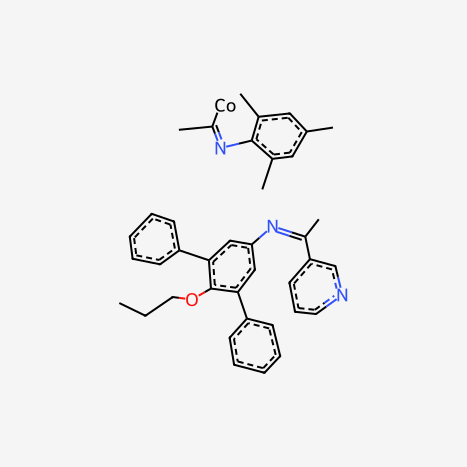 CCCOc1c(-c2ccccc2)cc(N=C(C)c2cccnc2)cc1-c1ccccc1.C[C]([Co])=Nc1c(C)cc(C)cc1C